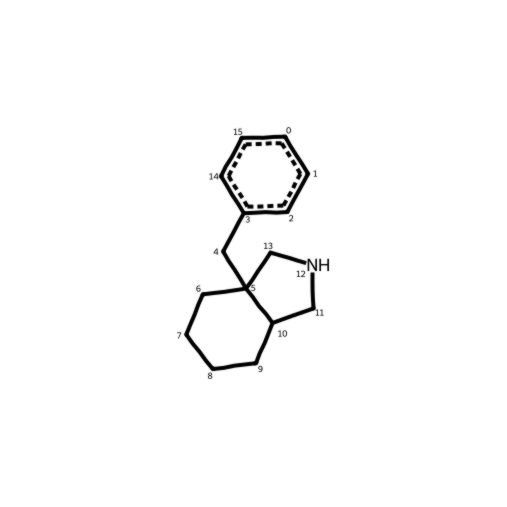 c1ccc(CC23CCCCC2CNC3)cc1